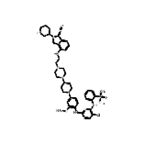 COc1cc(N2CCC(N3CCN(CCNc4cccc5c4CN(C4CCCNC4)C5=C=O)CC3)CC2)ccc1Nc1ncc(Cl)c(Nc2ccccc2P(C)(C)=O)n1